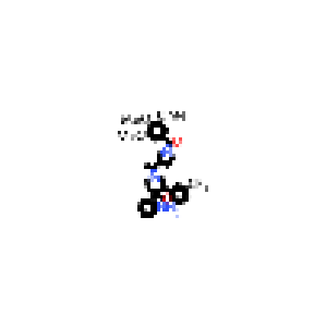 COc1cc(C(=O)N2CCC(C(C)N3CCC(C(N)=O)(c4ccccc4)C(c4cccc(C(F)(F)F)c4)C3)C2)cc(OC)c1OC